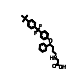 CC(C)(C)c1ccc(C(F)(F)c2ccc(OC(CCCNCC(=O)O)c3ccccc3)cc2)cc1